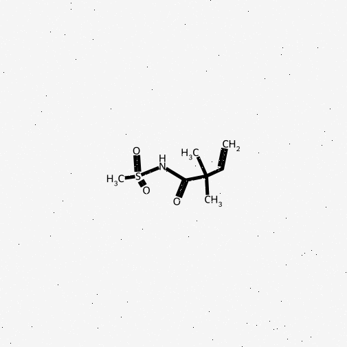 C=CC(C)(C)C(=O)NS(C)(=O)=O